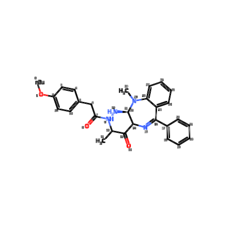 CCCCOc1ccc(CC(=O)NC(C)C(=O)C2N=C(c3ccccc3)c3ccccc3N(C)[C@@H]2N)cc1